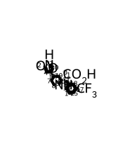 CC(=O)O.O=c1cc([C@@H]2CCN[C@@H](Cc3cccc(C(F)(F)F)c3)C2)o[nH]1